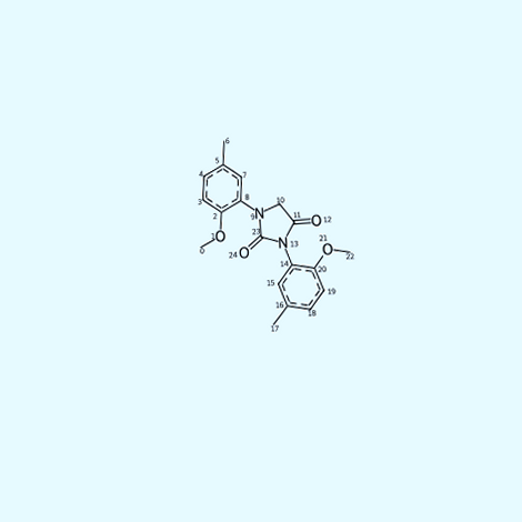 COc1ccc(C)cc1N1CC(=O)N(c2cc(C)ccc2OC)C1=O